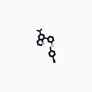 C#Cc1ccc(COc2cccc(-c3cc(C(C)C)cc4cccnc34)c2)cc1